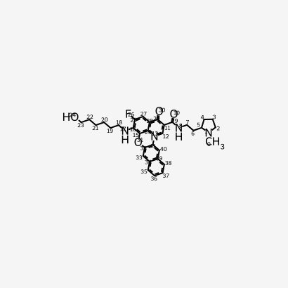 CN1CCCC1CCNC(=O)c1cn2c3c(c(NCCCCCCO)c(F)cc3c1=O)Oc1cc3ccccc3cc1-2